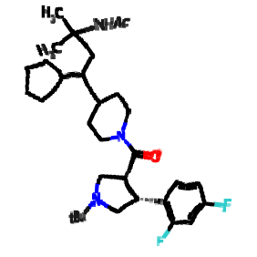 CC(=O)NC(C)(C)CC(C1CCCC1)C1CCN(C(=O)[C@@H]2CN(C(C)(C)C)C[C@H]2c2ccc(F)cc2F)CC1